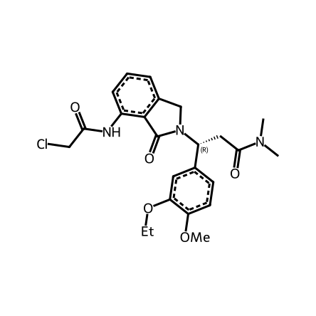 CCOc1cc([C@@H](CC(=O)N(C)C)N2Cc3cccc(NC(=O)CCl)c3C2=O)ccc1OC